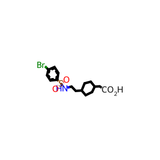 O=C(O)CC1CCC(CCNS(=O)(=O)c2ccc(Br)cc2)CC1